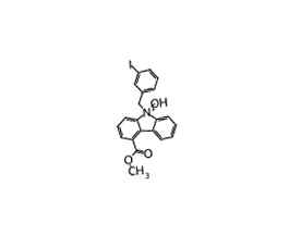 COC(=O)c1cccc2c1-c1ccccc1[N+]2(O)Cc1cccc(I)c1